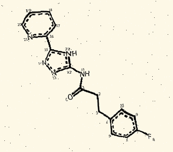 O=C(CCc1ccc(F)cc1)Nc1nnc(-c2ccccn2)[nH]1